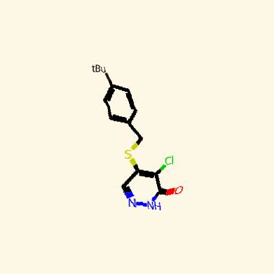 CC(C)(C)c1ccc(CSc2cn[nH]c(=O)c2Cl)cc1